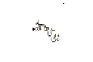 CN1[C@@H]2CC[C@@]1(C)[C@@H](F)[C@H](Oc1ccc(-c3ccc(-c4nccc(=O)n4C)cc3O)nn1)C2